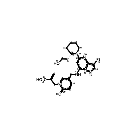 C=C(Cn1cc(CNc2cc(N3CCCC[C@H]3CCO)nc3c(CC)cnn23)ccc1=O)C(=O)O